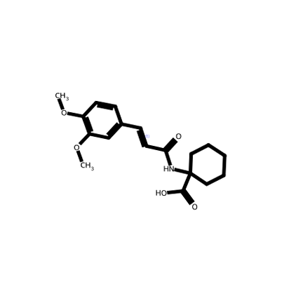 COc1ccc(/C=C/C(=O)NC2(C(=O)O)CCCCC2)cc1OC